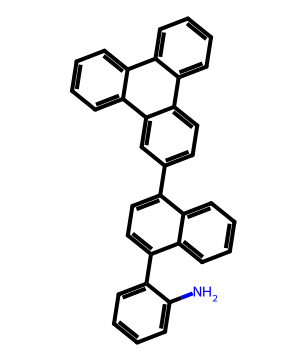 Nc1ccccc1-c1ccc(-c2ccc3c4ccccc4c4ccccc4c3c2)c2ccccc12